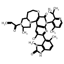 C=CC(=O)N1CC2CCOc3c(c4cc(Cl)c(-c5c(C)ccc6[nH]c(=O)n(C)c56)nc4n(-c4c(C)ccnc4C(C)C)c3=O)N2CC1C